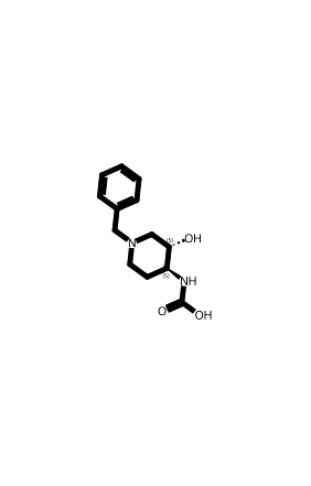 O=C(O)N[C@H]1CCN(Cc2ccccc2)C[C@@H]1O